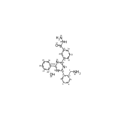 NCc1ccccc1-c1nc(-c2cccc(C(=O)NN)c2)nc(-c2ccccc2O)n1